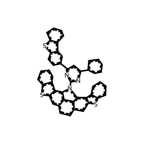 c1ccc(-c2cc(-c3ccc4sc5ccccc5c4c3)nc(-n3c4c5c(cc6ccc7cc8sc9ccccc9c8c3c7c64)sc3ccccc35)n2)cc1